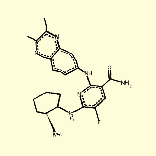 Cc1nc2ccc(Nc3nc(NC4CCCC[C@@H]4N)c(F)cc3C(N)=O)cc2nc1C